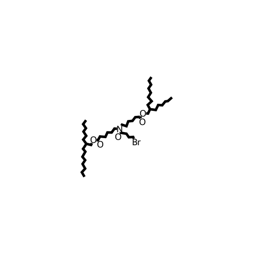 CCCCCCCCC(CCCCCC)COC(=O)CCCCCN(CCCCCC(=O)OCC(CCCCCC)CCCCCCCC)C(=O)CCCBr